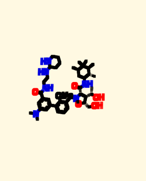 COc1c(CN2O[C@@H](CO)[C@@H]([C@H](C)O)[C@H]2C(=O)N[C@H]2C[C@@H](C)C(C)(C)[C@@H](C)[C@@H]2C)cccc1-c1cc(C(=O)NCCNC2CCCCN2)cc(N(C)C)c1